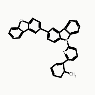 CC1CC=CC=C1c1cccc(-n2c3ccccc3c3cc(-c4ccc5oc6ccccc6c5c4)ccc32)n1